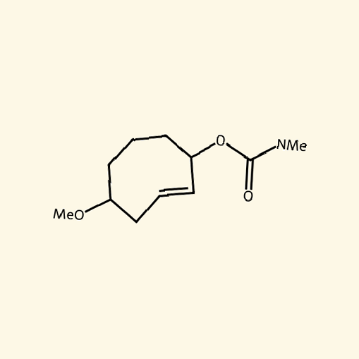 CNC(=O)OC1/C=C/CC(OC)CCC1